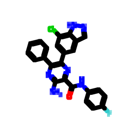 Nc1nc(-c2ccccc2)c(-c2cc(Cl)c3[nH]ncc3c2)nc1C(=O)Nc1ccc(F)cc1